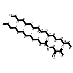 CCCCCCCCCCCC(=O)OCC(=O)C(C)=O.CCCCCCC[CH2][Sn][CH2]CCCCCCC